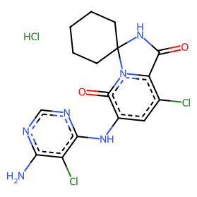 Cl.Nc1ncnc(Nc2cc(Cl)c3n(c2=O)C2(CCCCC2)NC3=O)c1Cl